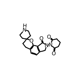 O=C1c2c(ccc3c2OC2(CCNCC2)CC3)CN1N1C(=O)CCCC1=O